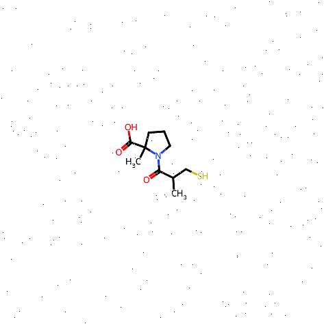 CC(CS)C(=O)N1CCCC1(C)C(=O)O